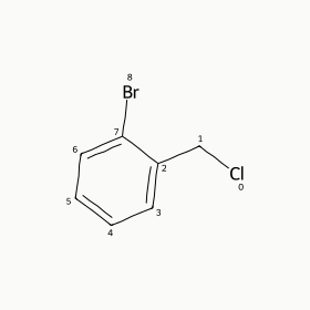 ClCc1ccccc1Br